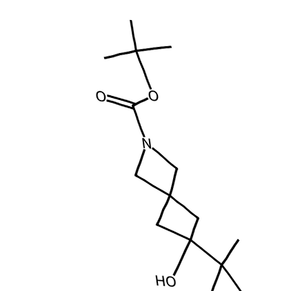 CC(C)(C)OC(=O)N1CC2(C1)CC(O)(C1(C)CC1)C2